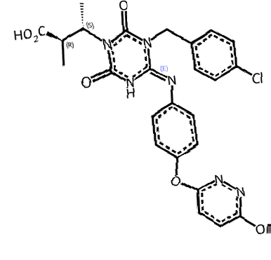 COc1ccc(Oc2ccc(/N=c3\[nH]c(=O)n([C@@H](C)[C@@H](C)C(=O)O)c(=O)n3Cc3ccc(Cl)cc3)cc2)nn1